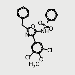 COc1c(Cl)cc(-c2nc(Cc3ccccc3)oc2NS(=O)(=O)c2ccccc2)cc1Cl